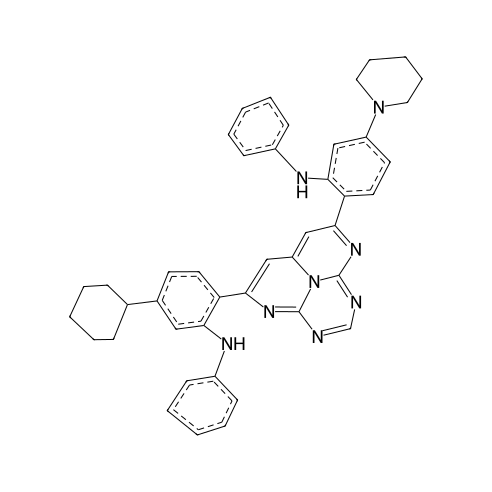 C1=NC2=NC(c3ccc(C4CCCCC4)cc3Nc3ccccc3)=CC3=CC(c4ccc(N5CCCCC5)cc4Nc4ccccc4)=NC(=N1)N32